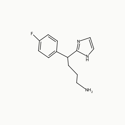 NCCCC(c1ccc(F)cc1)c1ncc[nH]1